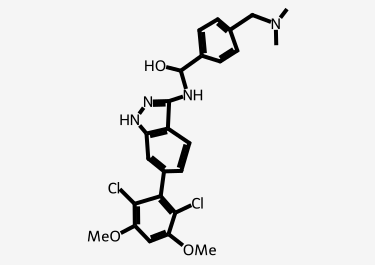 COc1cc(OC)c(Cl)c(-c2ccc3c(NC(O)c4ccc(CN(C)C)cc4)n[nH]c3c2)c1Cl